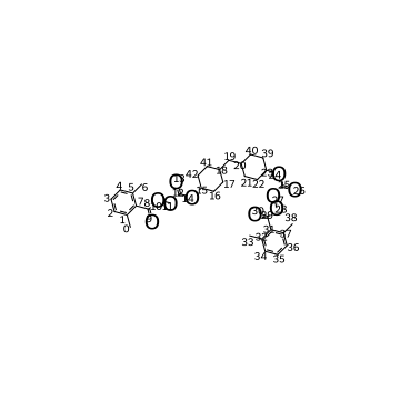 Cc1cccc(C)c1C(=O)OOC(=O)OC1CCC(CC2CCC(OC(=O)OOC(=O)c3c(C)cccc3C)CC2)CC1